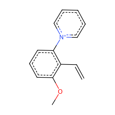 C=Cc1c(OC)cccc1-[n+]1ccccc1